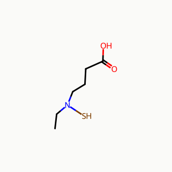 CCN(S)CCCC(=O)O